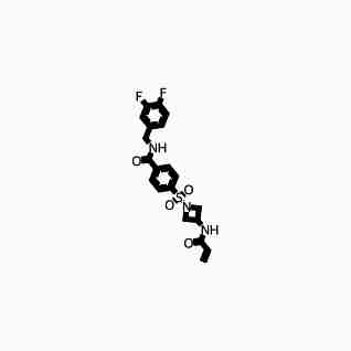 C=CC(=O)NC1CN(S(=O)(=O)c2ccc(C(=O)NCc3ccc(F)c(F)c3)cc2)C1